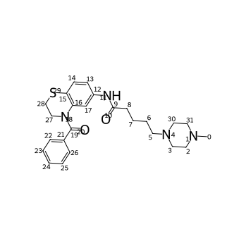 CN1CCN(CCCCC(=O)Nc2ccc3c(c2)N(C(=O)c2ccccc2)CCS3)CC1